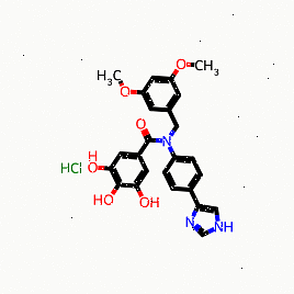 COc1cc(CN(C(=O)c2cc(O)c(O)c(O)c2)c2ccc(-c3c[nH]cn3)cc2)cc(OC)c1.Cl